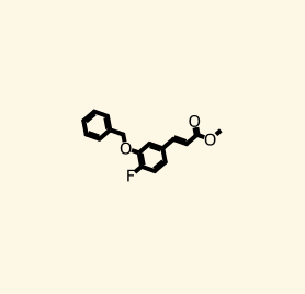 COC(=O)C=Cc1ccc(F)c(OCc2ccccc2)c1